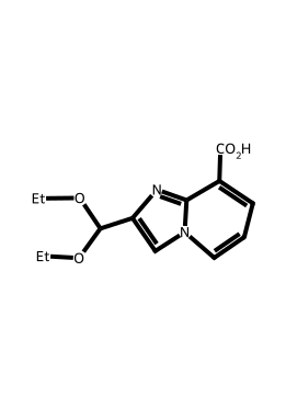 CCOC(OCC)c1cn2cccc(C(=O)O)c2n1